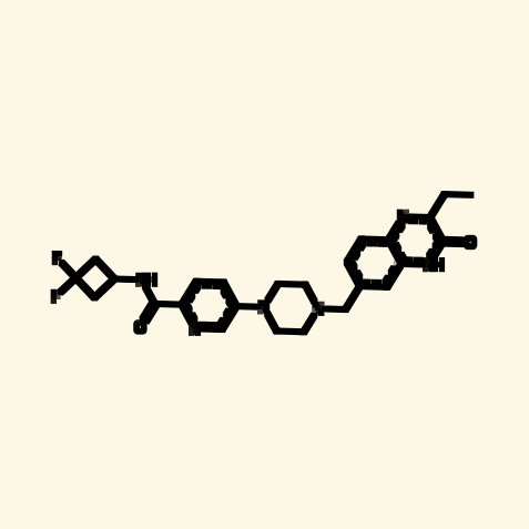 CCc1nc2ccc(CN3CCN(c4ccc(C(=O)NC5CC(F)(F)C5)nc4)CC3)cc2[nH]c1=O